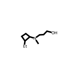 CCC1CCC1N(C)CCCO